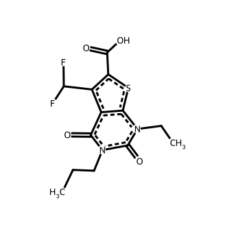 CCCn1c(=O)c2c(C(F)F)c(C(=O)O)sc2n(CC)c1=O